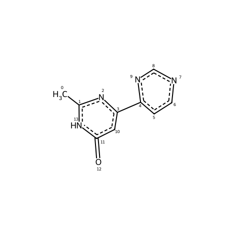 Cc1nc(-c2ccncn2)cc(=O)[nH]1